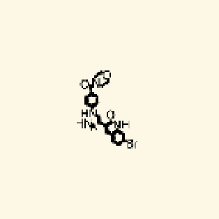 N=N/C(=C\Nc1ccc(C(=O)N2CCOCC2)cc1)c1cc2ccc(Br)cc2[nH]c1=O